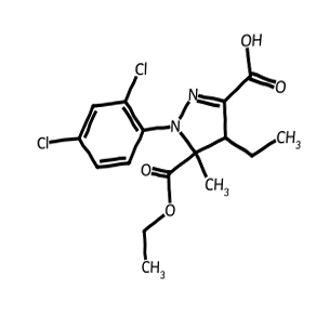 CCOC(=O)C1(C)C(CC)C(C(=O)O)=NN1c1ccc(Cl)cc1Cl